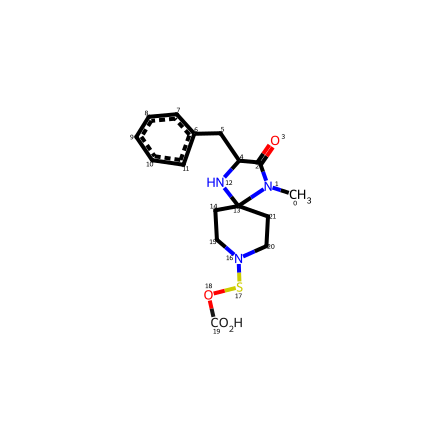 CN1C(=O)C(Cc2ccccc2)NC12CCN(SOC(=O)O)CC2